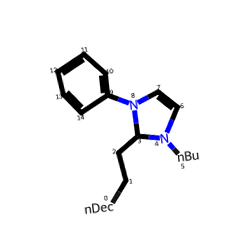 CCCCCCCCCCCCC1N(CCCC)C=CN1c1ccccc1